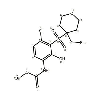 CC(C)(C)OC(=O)Nc1ccc(Cl)c(S(=O)(=O)C2(CF)CCOCC2)c1O